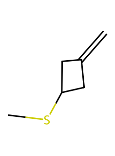 C=C1CC(SC)C1